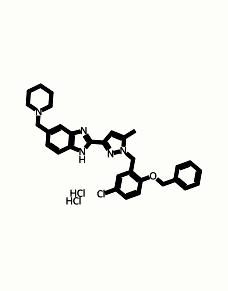 Cc1cc(-c2nc3cc(CN4CCCCC4)ccc3[nH]2)nn1Cc1cc(Cl)ccc1OCc1ccccc1.Cl.Cl